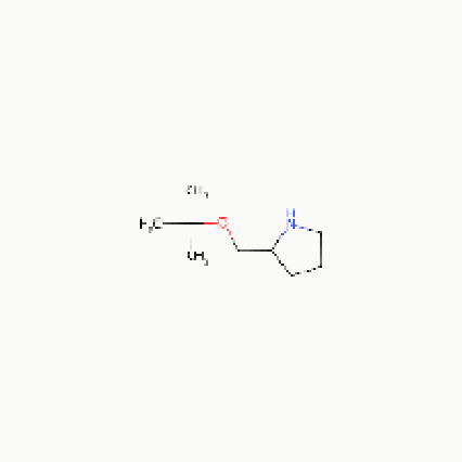 CC(C)(C)OCC1CCCN1